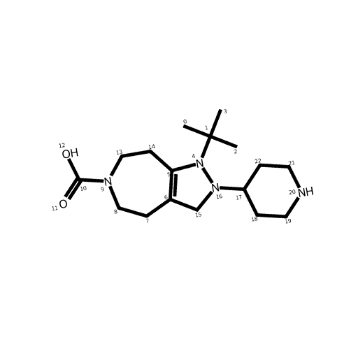 CC(C)(C)N1C2=C(CCN(C(=O)O)CC2)CN1C1CCNCC1